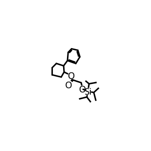 CC(C)[Si](OCC(=O)OC1CCCCC1c1ccccc1)(C(C)C)C(C)C